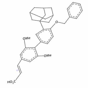 COc1cc(/C=C/C(=O)O)cc(OC)c1-c1ccc(OCc2ccccc2)c(C23CC4CC(CC(C4)C2)C3)c1